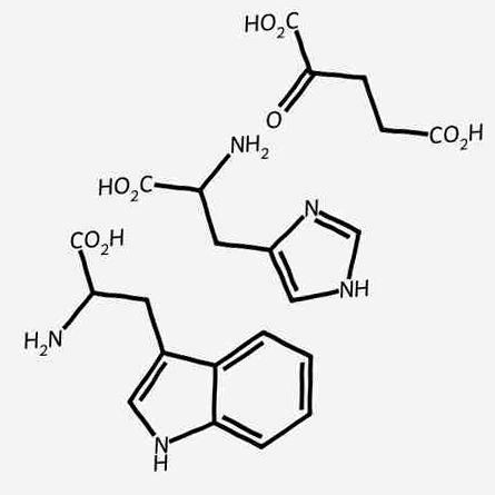 NC(Cc1c[nH]c2ccccc12)C(=O)O.NC(Cc1c[nH]cn1)C(=O)O.O=C(O)CCC(=O)C(=O)O